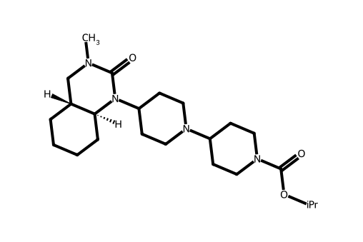 CC(C)OC(=O)N1CCC(N2CCC(N3C(=O)N(C)C[C@H]4CCCC[C@@H]43)CC2)CC1